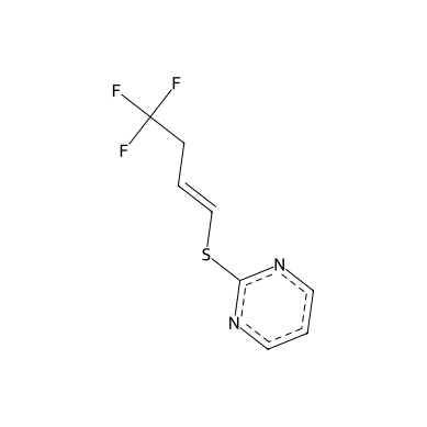 FC(F)(F)CC=CSc1ncccn1